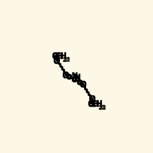 C=CC(C=C)OCCCCCCCCCOc1ccc(-c2ccc(-c3ccc(OCCCCCCCCCOC(C=C)C=C)cc3)c3c2=NCN=3)cc1